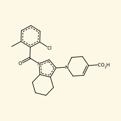 Cc1cccc(Cl)c1C(=O)n1cc(N2CC=C(C(=O)O)CC2)c2c1CCCC2